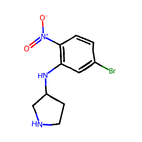 O=[N+]([O-])c1ccc(Br)cc1NC1CCNC1